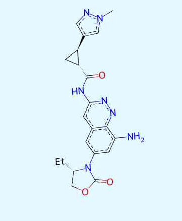 CC[C@H]1COC(=O)N1c1cc(N)c2nnc(NC(=O)[C@@H]3C[C@H]3c3cnn(C)c3)cc2c1